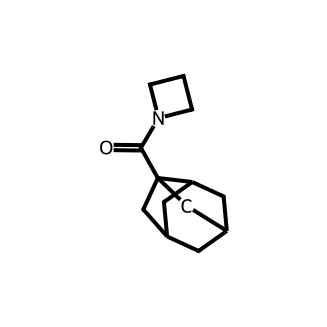 O=C(N1CCC1)C12CC3CC(CC1C3)C2